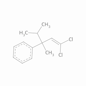 CC(C)C(C)(C=C(Cl)Cl)c1ccccc1